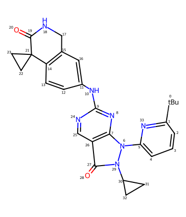 CC(C)(C)c1cccc(-n2c3nc(Nc4ccc5c(c4)CNC(=O)C54CC4)ncc3c(=O)n2C2CC2)n1